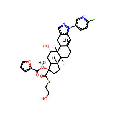 C[C@]12Cc3cnn(-c4ccc(F)nc4)c3C=C1CC[C@@H]1[C@@H]2[C@@H](O)C[C@@]2(C)[C@H]1CC[C@]2(OC(=O)c1ccco1)C(=O)SCCO